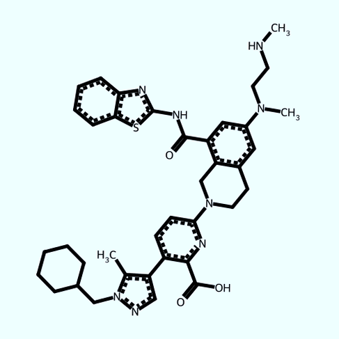 CNCCN(C)c1cc2c(c(C(=O)Nc3nc4ccccc4s3)c1)CN(c1ccc(-c3cnn(CC4CCCCC4)c3C)c(C(=O)O)n1)CC2